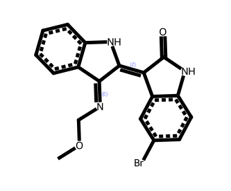 COC/N=C1/C(=C2/C(=O)Nc3ccc(Br)cc32)Nc2ccccc21